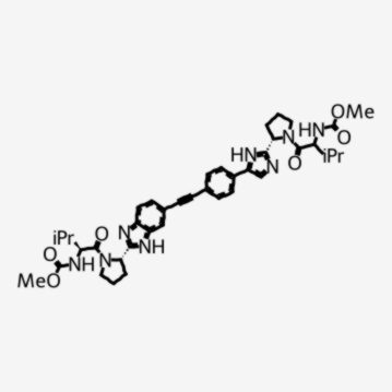 COC(=O)NC(C(=O)N1CCC[C@H]1c1ncc(-c2ccc(C#Cc3ccc4nc([C@@H]5CCCN5C(=O)[C@@H](NC(=O)OC)C(C)C)[nH]c4c3)cc2)[nH]1)C(C)C